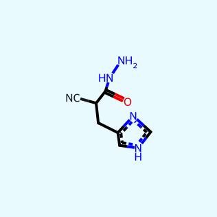 N#CC(Cc1c[nH]cn1)C(=O)NN